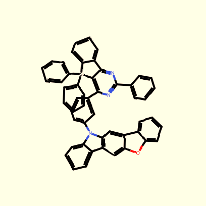 c1ccc(-c2nc(-c3cccc(-n4c5ccccc5c5cc6oc7ccccc7c6cc54)c3)c3c(n2)-c2ccccc2[Si]3(c2ccccc2)c2ccccc2)cc1